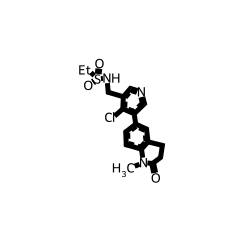 CCS(=O)(=O)NCc1cncc(-c2ccc3c(c2)CCC(=O)N3C)c1Cl